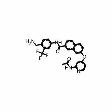 CC(=O)Nc1cc(Oc2ccc3ccc(C(=O)Nc4ccc(CN)c(C(F)(F)F)c4)cc3c2)ccn1